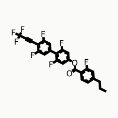 CCCc1ccc(C(=O)Oc2cc(F)c(-c3cc(F)c(C#CC(F)(F)F)c(F)c3)c(F)c2)c(F)c1